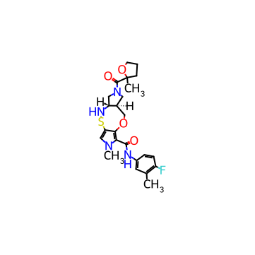 Cc1cc(NC(=O)c2c3c(cn2C)SN[C@@H]2CN(C(=O)C4(C)CCCO4)C[C@H]2CO3)ccc1F